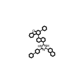 c1ccc(-c2ccc(C3=NC(c4ccc5ccccc5c4)NC(c4cccc5c(-c6cc(-c7ccccc7)cc7oc8ccccc8c67)cccc45)N3)cc2)cc1